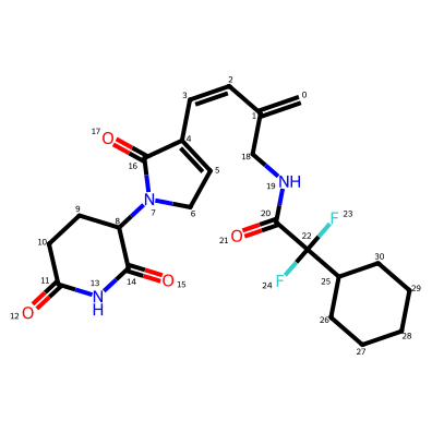 C=C(/C=C\C1=CCN(C2CCC(=O)NC2=O)C1=O)CNC(=O)C(F)(F)C1CCCCC1